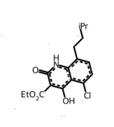 CCOC(=O)c1c(O)c2c(Cl)ccc(CCC(C)C)c2[nH]c1=O